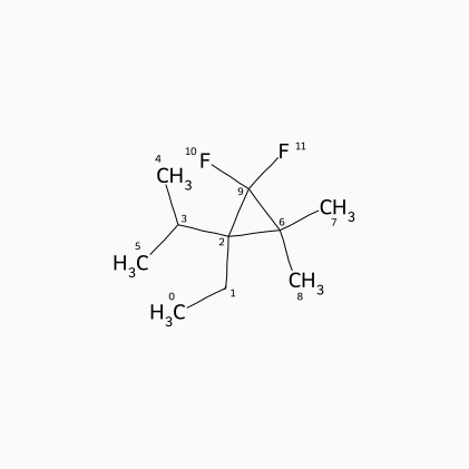 CCC1(C(C)C)C(C)(C)C1(F)F